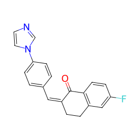 O=C1C(=Cc2ccc(-n3ccnc3)cc2)CCc2cc(F)ccc21